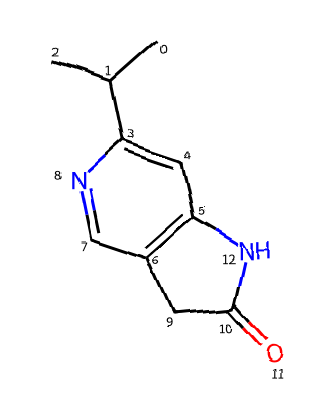 CC(C)c1cc2c(cn1)CC(=O)N2